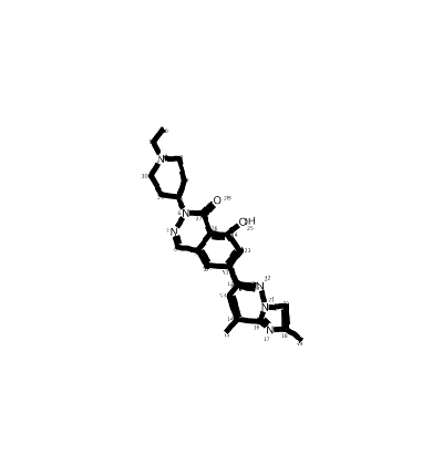 CCN1CCC(n2ncc3cc(-c4cc(C)c5nc(C)cn5n4)cc(O)c3c2=O)CC1